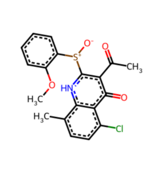 COc1ccccc1[S+]([O-])c1[nH]c2c(C)ccc(Cl)c2c(=O)c1C(C)=O